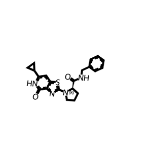 O=C(NCc1ccccc1)[C@H]1CCCN1c1nc2c(=O)[nH]c(C3CC3)cc2s1